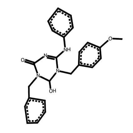 COc1ccc(CN2C(Nc3ccccc3)=NC(=O)N(Cc3ccccc3)C2O)cc1